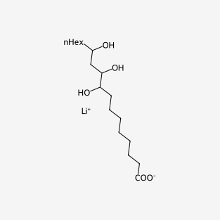 CCCCCCC(O)CC(O)C(O)CCCCCCCC(=O)[O-].[Li+]